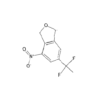 CC(F)(F)c1cc2c(c([N+](=O)[O-])c1)CO[CH]2